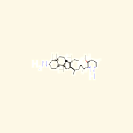 CC1=C2C[C@H]3[C@@H](CC[C@@H]4C[C@H](N)CC[C@@]43C)[C@@H]2CC[C@@]2(C1)O[C@@H]1C[C@H](C)CNC1[C@H]2C